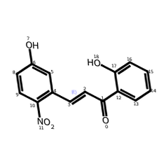 O=C(/C=C/c1cc(O)ccc1[N+](=O)[O-])c1ccccc1O